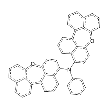 c1ccc(N(c2ccc3oc4cccc5cccc(c6cccc2c36)c54)c2ccc3oc4cccc5cccc(c6cccc2c36)c54)cc1